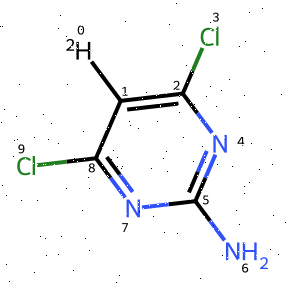 [2H]c1c(Cl)nc(N)nc1Cl